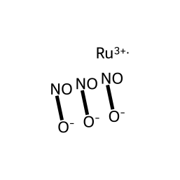 O=N[O-].O=N[O-].O=N[O-].[Ru+3]